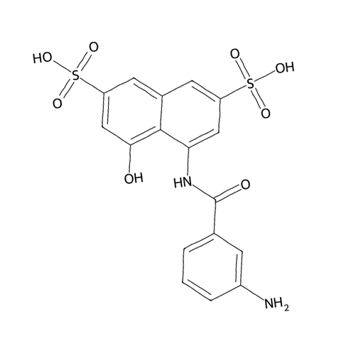 Nc1cccc(C(=O)Nc2cc(S(=O)(=O)O)cc3cc(S(=O)(=O)O)cc(O)c23)c1